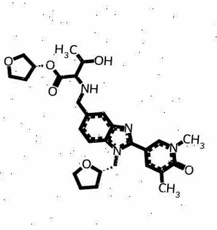 Cc1cc(-c2nc3cc(CNC(C(=O)O[C@@H]4CCOC4)C(C)O)ccc3n2C[C@@H]2CCCO2)cn(C)c1=O